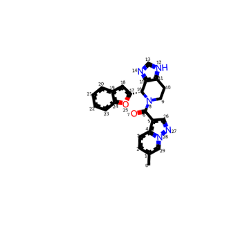 Cc1ccc2c(C(=O)N3CCc4[nH]cnc4[C@H]3c3cc4ccccc4o3)cnn2c1